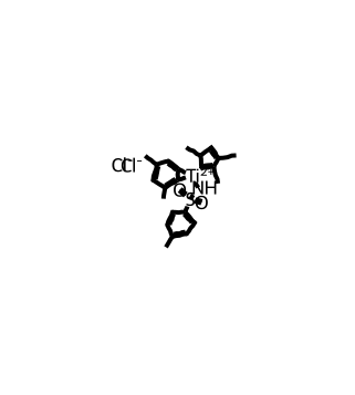 CC1=CC(C)[C]([Ti+2]2([NH]S(=O)(=O)c3ccc(C)cc3)[c]3cc(C)cc(C)[c]32)=C1C.[Cl-].[Cl-]